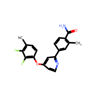 Cc1cc(-c2cc(Oc3ccc(C#N)c(F)c3F)ccn2)ccc1C(N)=O